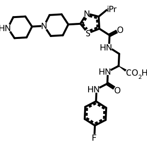 CC(C)c1nc(C2CCN(C3CCNCC3)CC2)sc1C(=O)NC[C@H](NC(=O)Nc1ccc(F)cc1)C(=O)O